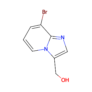 OCc1cnc2c(Br)cccn12